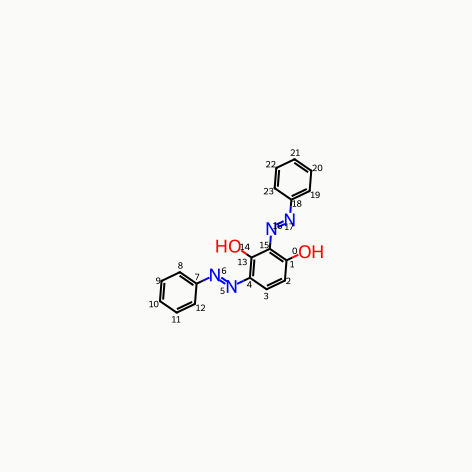 Oc1ccc(N=Nc2ccccc2)c(O)c1N=Nc1ccccc1